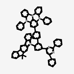 CC1(C)c2ccccc2-c2cc3c4ccccc4n(-c4ccc(-c5cc(-c6ccccc6)nc(-c6ccccc6)n5)cc4-c4ccc(-c5cc6c7c(c5)N(c5ccccc5)c5ccccc5B7c5ccccc5N6c5ccccc5)cc4)c3cc21